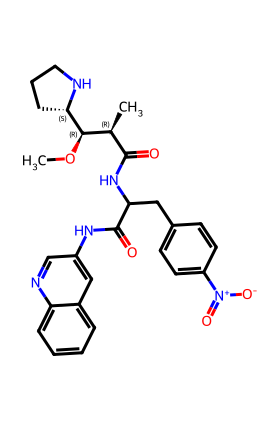 CO[C@@H]([C@@H]1CCCN1)[C@@H](C)C(=O)NC(Cc1ccc([N+](=O)[O-])cc1)C(=O)Nc1cnc2ccccc2c1